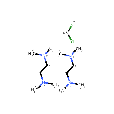 CN(C)CCN(C)C.CN(C)CCN(C)C.[Cl][V][Cl]